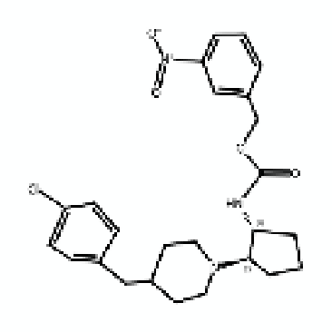 O=C(N[C@@H]1CCC[C@H]1N1CCC(Cc2ccc(Cl)cc2)CC1)OCc1cccc([N+](=O)[O-])c1